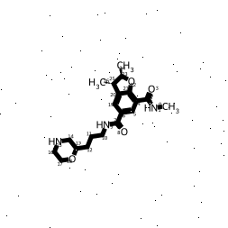 CNC(=O)c1cc(C(=O)NCCCC2CNCCO2)cc2c1O[C@H](C)[C@H]2C